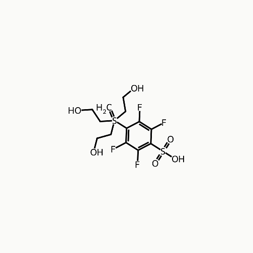 C=S(CCO)(CCO)(CCO)c1c(F)c(F)c(S(=O)(=O)O)c(F)c1F